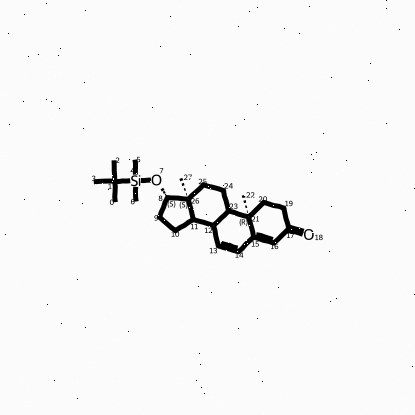 CC(C)(C)[Si](C)(C)O[C@H]1CCC2C3C=CC4=CC(=O)CC[C@]4(C)C3CC[C@@]21C